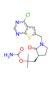 CC(C)(C[C@@H]1CCN(Cc2cc3c(Cl)ncnc3s2)C1=O)OC(N)=O